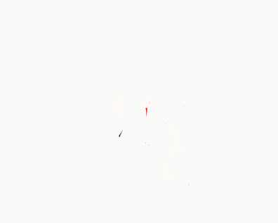 COC(=O)[C@](O)(NC(=O)OC(C)(C)C)[C@@H](C)OCc1ccccc1